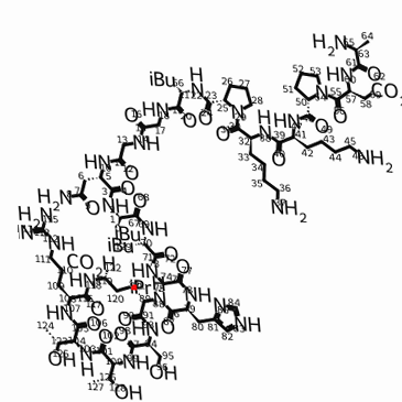 CC[C@H](C)[C@H](NC(=O)[C@H](CC(N)=O)NC(=O)CNC(=O)CNC(=O)[C@@H](NC(=O)[C@@H]1CCCN1C(=O)[C@H](CCCCN)NC(=O)[C@H](CCCCN)NC(=O)[C@@H]1CCCN1C(=O)[C@H](CC(=O)O)NC(=O)[C@H](C)N)[C@@H](C)CC)C(=O)N[C@H](C(=O)N[C@@H](C)C(=O)N[C@@H](Cc1c[nH]cn1)C(=O)N[C@@H](C)C(=O)N[C@@H](CO)C(=O)N[C@H](C(=O)N[C@H](C(=O)N[C@@H](CCCNC(=N)N)C(=O)N[C@@H](CC(C)C)C(=O)O)[C@@H](C)O)[C@@H](C)O)[C@@H](C)CC